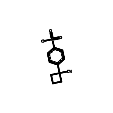 N#CC1(c2ccc(S(=O)(=O)Cl)cc2)CCC1